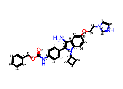 Nc1c(-c2ccc(NC(=O)OCc3ccccc3)cc2)n(C2CCC2)c2ccc(OCCN3C=CNC3)cc12